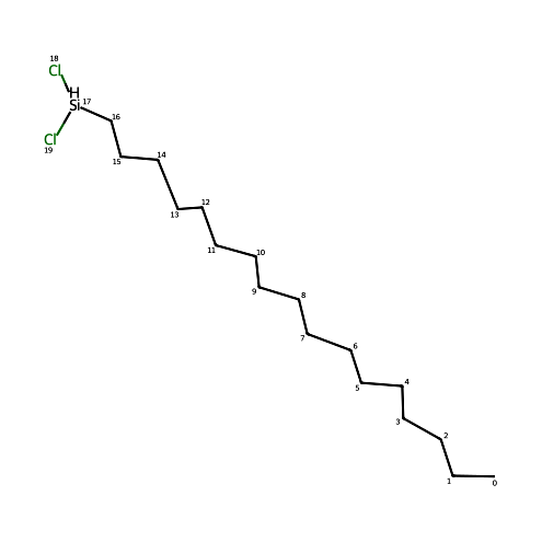 CCCCCCCCCCCCCCCCC[SiH](Cl)Cl